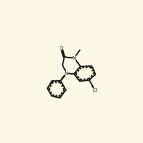 CN1C(=O)CN(c2ccccc2)c2cc(Cl)ccc21